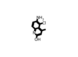 Cc1cc(O)nc2ccc(N)c(Cl)c12